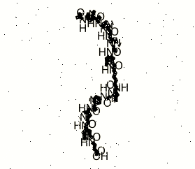 CC(=O)Nc1cc(C(=O)Nc2cn(C)c(C(=O)Nc3cn(C)c(C(=O)Nc4cc(C(=O)NCCCC(=O)Nc5cn(C)c(C(=O)Nc6cc(C(=O)Nc7cc(C(=O)Nc8cc(C(=O)NCCC(=O)O)n(C)c8)n(C)c7)n(C)c6)n5)n(C)c4)n3)n2)n(C)c1